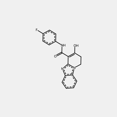 O=C(Nc1ccc(F)cc1)C1=C(O)CCn2c1nc1ccccc12